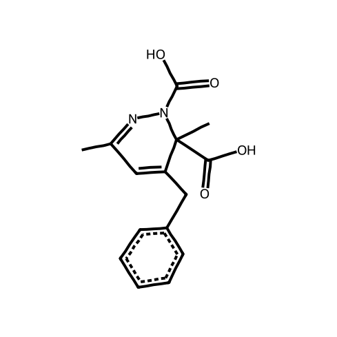 CC1=NN(C(=O)O)C(C)(C(=O)O)C(Cc2ccccc2)=C1